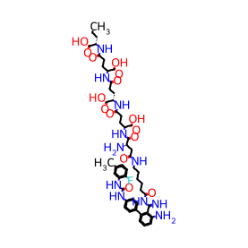 CCC[C@H](NC(=O)CCC(NC(=O)CC[C@H](NC(=O)CCC(NC(=O)[C@@H](N)CC(=O)NCCCCCC(=O)NC(=N)c1c(N)cccc1-c1ccc(NC(=O)Nc2cc(C)ccc2F)cc1)C(=O)O)C(=O)O)C(=O)O)C(=O)O